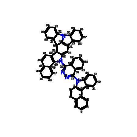 c1ccc2c(c1)ccc1c2c2ccccc2n1-c1nnc(-n2c3cc4c5ccccc5n5c6ccccc6c(c3c3ccc6ccccc6c32)c45)c2ccccc12